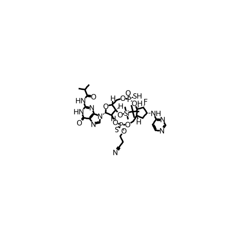 CC(C)C(=O)Nc1nc2c(ncn2[C@@H]2O[C@@H]3CO[P@@](=O)(S)O[C@@H]4[C@@H](CO[P@](=S)(OCCC#N)O[C@@H]2[C@@H]3O[Si](C)(C)C(C)(C)C)C[C@@H](Nc2ccncn2)[C@H]4F)c(=O)[nH]1